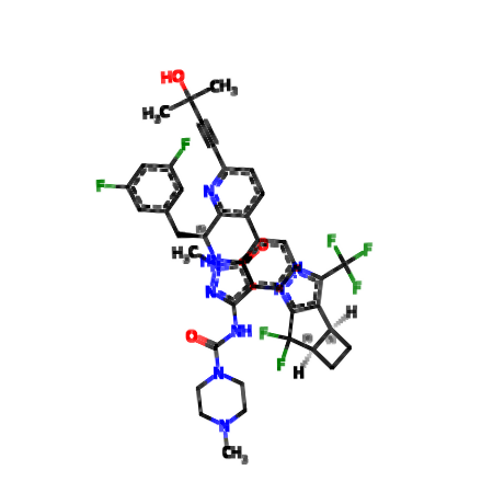 CN1CCN(C(=O)Nc2nn(C)c3c(-c4ccc(C#CC(C)(C)O)nc4[C@H](Cc4cc(F)cc(F)c4)NC(=O)Cn4nc(C(F)(F)F)c5c4C(F)(F)[C@@H]4CC[C@H]54)cccc23)CC1